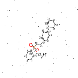 O=C(O)[C@@H]1CCCC[C@@H]1S(=O)(=O)CCc1ccc(-c2ccccc2)cc1